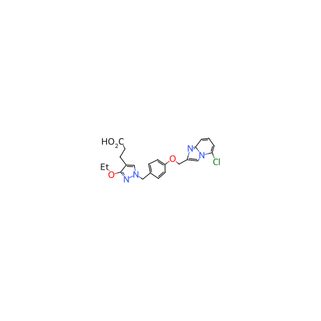 CCOc1nn(Cc2ccc(OCc3cn4c(Cl)cccc4n3)cc2)cc1CCC(=O)O